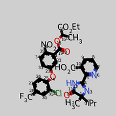 CC(C)C1(C)N=C(c2ncccc2C(=O)O)NC1=O.CCOC(=O)C(C)OC(=O)c1cc(Oc2ccc(C(F)(F)F)cc2Cl)ccc1[N+](=O)[O-]